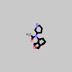 CC(=O)N(c1cccc2cocc12)C1CCCNC1